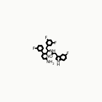 Nc1ccc(-c2cccc(F)c2)c(C(Cc2cc(F)cc(F)c2)NC(=O)Cc2c[nH]c3ccc(F)cc23)n1